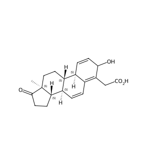 C[C@]12CC[C@H]3[C@@H](C=CC4=C(CC(=O)O)C(O)C=C[C@@H]43)[C@@H]1CCC2=O